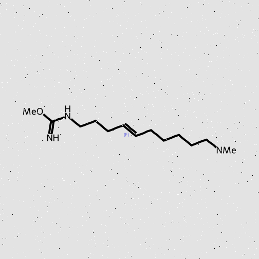 CNCCCCC/C=C/CCCNC(=N)OC